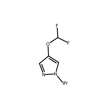 CC(C)n1cc(OC(F)F)cn1